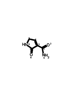 NC(=O)C1=CCNC1=O